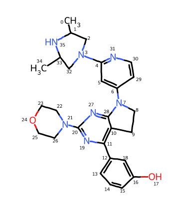 CC1CN(c2cc(N3CCc4c(-c5cccc(O)c5)nc(N5CCOCC5)nc43)ccn2)CC(C)N1